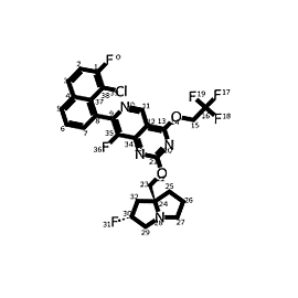 Fc1ccc2cccc(-c3ncc4c(OCC(F)(F)F)nc(OC[C@@]56CCCN5C[C@H](F)C6)nc4c3F)c2c1Cl